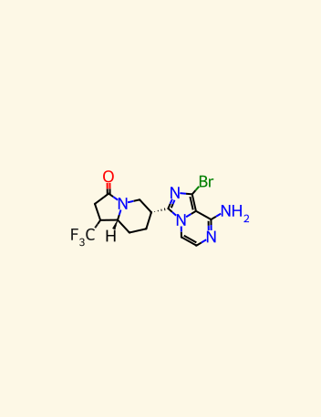 Nc1nccn2c([C@@H]3CC[C@@H]4C(C(F)(F)F)CC(=O)N4C3)nc(Br)c12